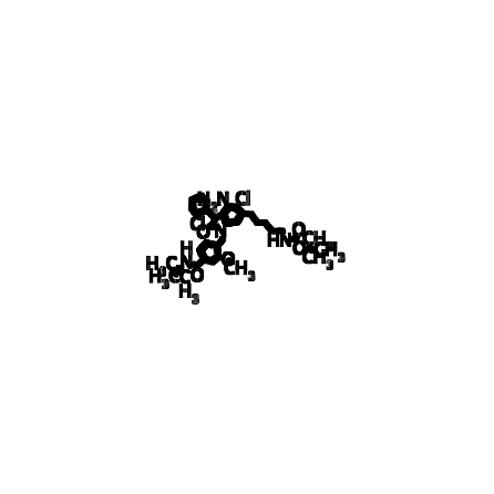 COc1cc(C(=O)NC(C)(C)C)ccc1CN1C(=O)C(c2ccccc2Cl)c2c1cc(CCCCCNC(=O)OC(C)(C)C)c(Cl)c2N